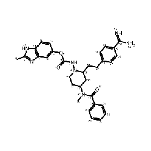 Cc1nc2cc(OC(=O)NN3CCC(N(C)C(=O)c4ccccc4)CC3CCc3ccc(C(=N)N)cc3)ccc2[nH]1